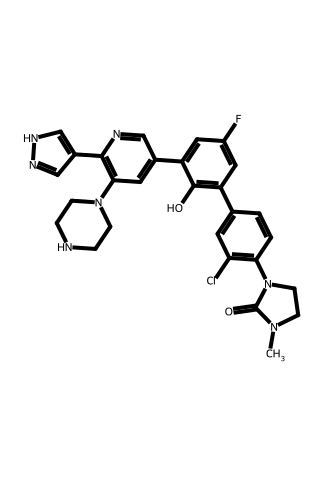 CN1CCN(c2ccc(-c3cc(F)cc(-c4cnc(-c5cn[nH]c5)c(N5CCNCC5)c4)c3O)cc2Cl)C1=O